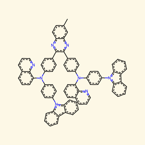 Cc1ccc2nc(-c3ccc(N(c4ccc(-n5c6ccccc6c6ccccc65)cc4)c4cccc5cccnc45)cc3)c(-c3ccc(N(c4ccc(-n5c6ccccc6c6ccccc65)cc4)c4cccc5cccnc45)cc3)nc2c1